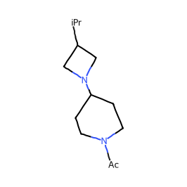 CC(=O)N1CCC(N2CC(C(C)C)C2)CC1